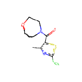 Cc1nc(Cl)sc1C(=O)N1CCOCC1